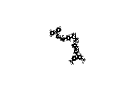 CCC(CC(C)(C#N)C(=O)Oc1ccc(-c2ccc(-n3c4ccc(N(C)C)cc4c4cc(N(C)C)ccc43)cn2)c(C)c1)c1ccc(-c2ccc(-c3ccc(N(c4ccccc4)c4ccccc4)s3)s2)cc1